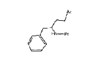 CC(=O)CCC(Cc1ccccc1)NC(C)C